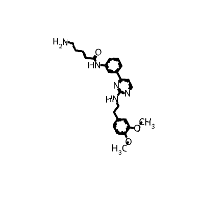 COc1ccc(CCNc2nccc(-c3cccc(NC(=O)CCCCN)c3)n2)cc1OC